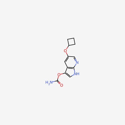 NC(=O)Oc1c[nH]c2ncc(OC3CCC3)cc12